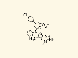 Cc1nc(NC(=N)N)sc1N(C(=O)CC(CC(=O)O)c1ccc(Cl)cc1)c1ccccc1